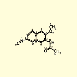 [C-]#[N+]c1ccc2cc(OC)c(NC(C)=O)cc2c1